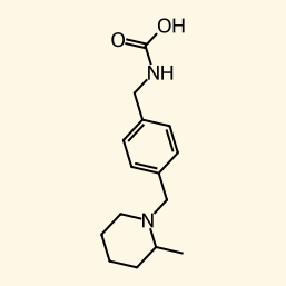 CC1CCCCN1Cc1ccc(CNC(=O)O)cc1